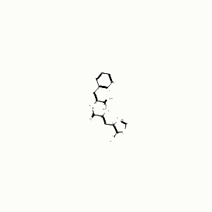 CC(C)(C)c1ocnc1/C=c1\[nH]c(=O)/c(=C\c2ccccc2)[nH]c1=O